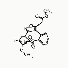 COC(=O)Cc1onc(-c2ccc(OC)c(F)c2)c1-c1ccccc1S(N)(=O)=O